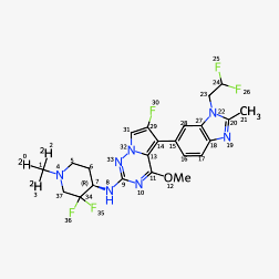 [2H]C([2H])([2H])N1CC[C@@H](Nc2nc(OC)c3c(-c4ccc5nc(C)n(CC(F)F)c5c4)c(F)cn3n2)C(F)(F)C1